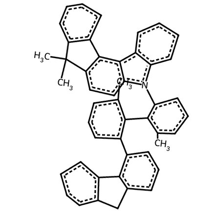 Cc1cccc(-c2cccc3c2-c2ccccc2C3)c1-c1c(C)cccc1-n1c2ccccc2c2c3c(ccc21)C(C)(C)c1ccccc1-3